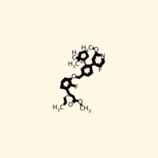 CCC[C@@H](CC(=O)OC)c1cccc(OCc2ccc(-c3cc(OC)ncc3F)c([C@@H]3CCCC3(C)C)c2)c1F